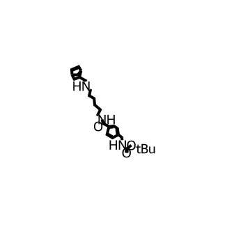 CC(C)(C)OC(=O)NCc1ccc(C(=O)NCCCCCCNCC2CC3C=CC2C3)cc1